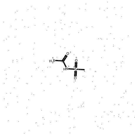 BC(=O)NS(C)(=O)=O